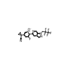 N#CC1(c2cc(F)c(-c3cc4cnn(CC(F)(F)C(F)(F)F)c4cn3)[n+]([O-])c2)CC1